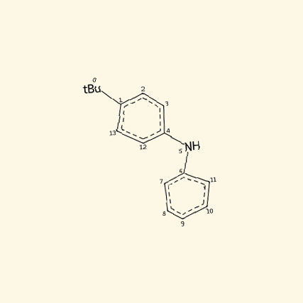 CC(C)(C)c1ccc(Nc2ccccc2)cc1